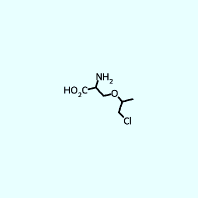 CC(CCl)OCC(N)C(=O)O